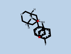 Fc1ccc(N[C@H]2C[C@H]3COC[C@@H](C2)N3Cc2ccccc2)cc1